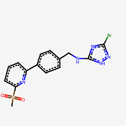 CS(=O)(=O)c1cccc(-c2ccc(CNc3nc(Br)n[nH]3)cc2)n1